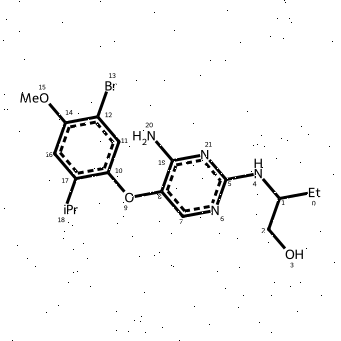 CCC(CO)Nc1ncc(Oc2cc(Br)c(OC)cc2C(C)C)c(N)n1